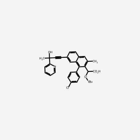 Cc1cc2ccc(C#CC(C)(O)c3ccccn3)cc2c(-c2ccc(Cl)cc2)c1C(OC(C)(C)C)C(=O)O